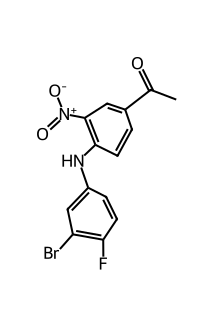 CC(=O)c1ccc(Nc2ccc(F)c(Br)c2)c([N+](=O)[O-])c1